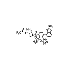 Nc1nc2c(-c3ccc(S(=O)(=O)N4CCC([C@@H](N)OC(=O)C(F)(F)F)C4)c(S(N)(=O)=O)c3-c3nnn[nH]3)cccc2s1